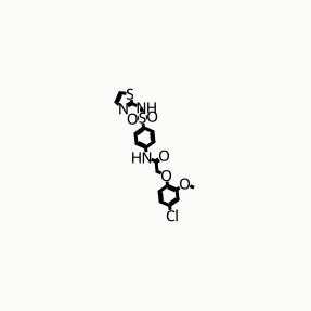 COc1cc(Cl)ccc1OCC(=O)Nc1ccc(S(=O)(=O)Nc2nccs2)cc1